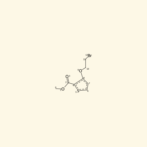 COC(=O)c1sccc1OCCBr